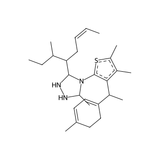 C/C=C\CC(C(C)CC)C1NNC(C)N1c1sc(C)c(C)c1C(C)C1=CC=C(C)CC1